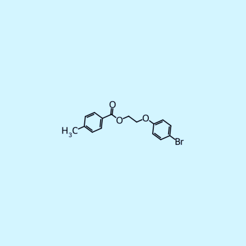 Cc1ccc(C(=O)OCCOc2ccc(Br)cc2)cc1